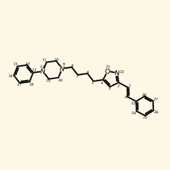 C(=Cc1cc(CCCCN2CCN(c3ccccc3)CC2)on1)c1ccccc1